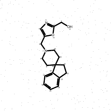 OCc1ncc(CN2CCC3(CCc4ccccc43)CC2)o1